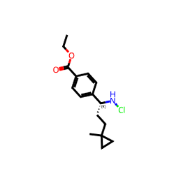 CCOC(=O)c1ccc([C@@H](CCC2(C)CC2)NCl)cc1